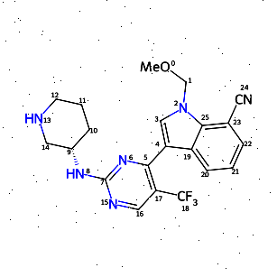 COCn1cc(-c2nc(N[C@H]3CCCNC3)ncc2C(F)(F)F)c2cccc(C#N)c21